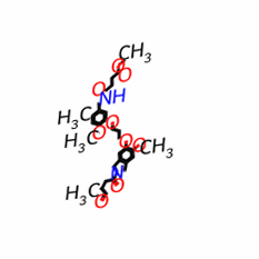 CCOC(=O)CCC(=O)NCc1cc(OCCCOc2cc3c(cc2OC)CN(C(=O)C[C@H](C)C=O)C3)c(OC)cc1C